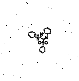 O=S(=O)(c1ccccc1)c1nc2ccccc2nc1Nc1ccccc1